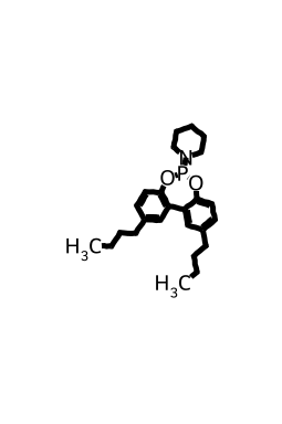 CCCCc1ccc2op(N3CCCCC3)oc3ccc(CCCC)cc3c2c1